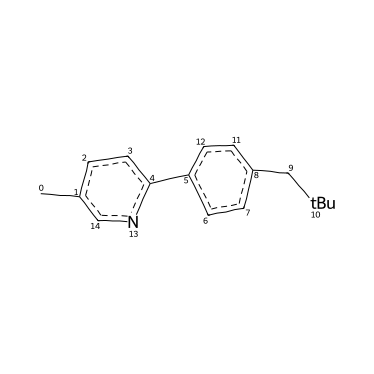 Cc1ccc(-c2ccc(CC(C)(C)C)cc2)nc1